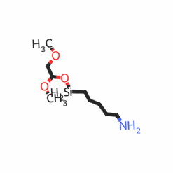 COCC(OC)O[SiH2]CCCCCN